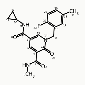 CNC(=O)c1cc(C(=O)NC2CC2)cn(Cc2cc(C)ccc2F)c1=O